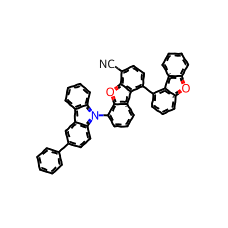 N#Cc1ccc(-c2cccc3oc4ccccc4c23)c2c1oc1c(-n3c4ccccc4c4cc(-c5ccccc5)ccc43)cccc12